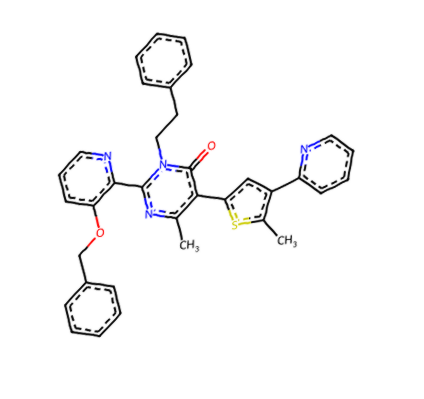 Cc1nc(-c2ncccc2OCc2ccccc2)n(CCc2ccccc2)c(=O)c1-c1cc(-c2ccccn2)c(C)s1